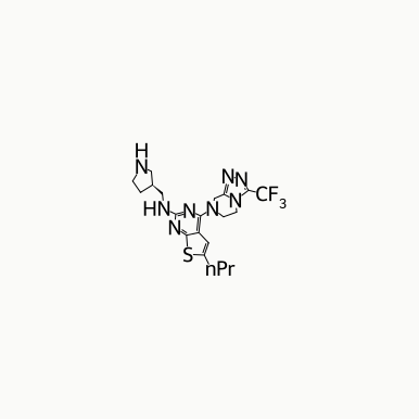 CCCc1cc2c(N3CCn4c(nnc4C(F)(F)F)C3)nc(NC[C@H]3CCNC3)nc2s1